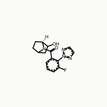 O=C(c1cccc(F)c1-n1nccn1)N1C2CC[C@H]1C(O)C2